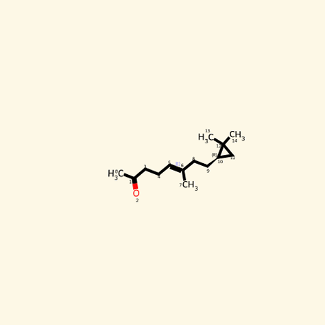 CC(=O)CC/C=C(\C)CC[C@@H]1CC1(C)C